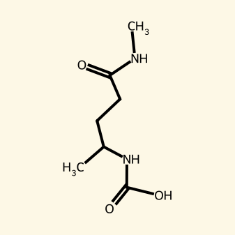 CNC(=O)CCC(C)NC(=O)O